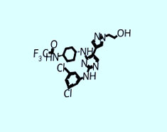 O=C(N[C@H]1CC[C@H](Nc2nc(Nc3cc(Cl)cc(Cl)c3)ncc2-c2cnn(CCO)c2)CC1)C(F)(F)F